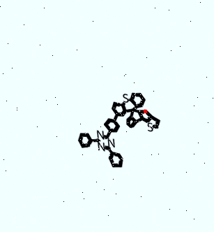 c1ccc(-c2nc(-c3ccccc3)nc(-c3ccc(-c4ccc5c(c4)C4(c6ccccc6S5)c5ccccc5-c5c4ccc4ccsc54)cc3)n2)cc1